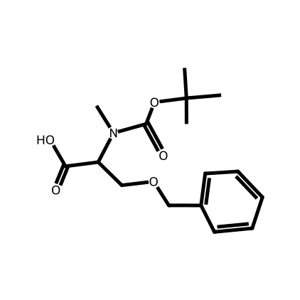 CN(C(=O)OC(C)(C)C)C(COCc1ccccc1)C(=O)O